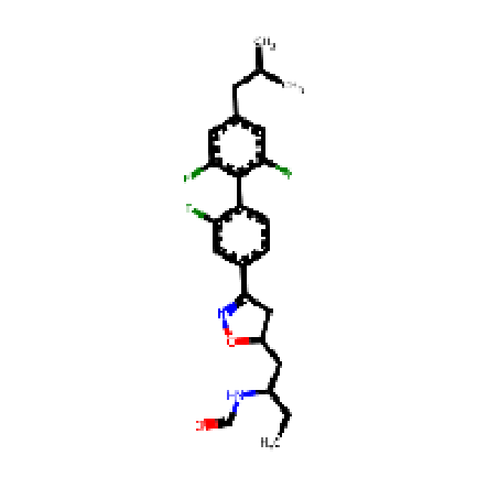 CCC(CC1CC(c2ccc(-c3c(F)cc(CC(C)C)cc3F)c(F)c2)=NO1)NC=O